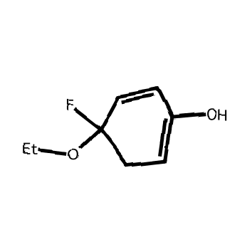 CCOC1(F)C=CC(O)=CC1